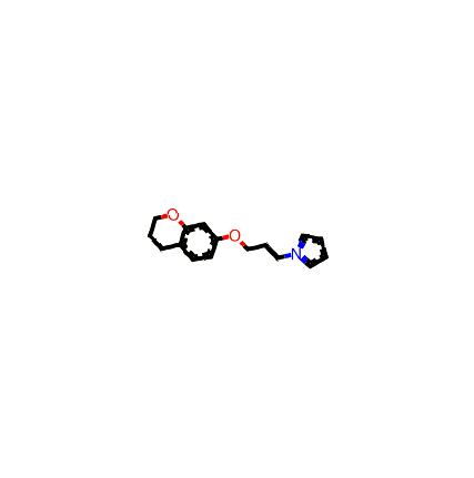 c1ccn(CCCOc2ccc3c(c2)OCCC3)c1